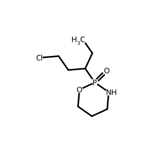 CCC(CCCl)P1(=O)NCCCO1